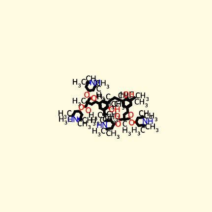 CC1(C)CC(OC(=O)C(C)(CCc2cc(C(C)(C)C)c(O)c(C(C)(C)CC(C)(C)c3cc(CCC(C)(C(=O)OC4CC(C)(C)NC(C)(C)C4)C(=O)OC4CC(C)(C)NC(C)(C)C4)cc(C(C)(C)C)c3O)c2)C(=O)OC2CC(C)(C)NC(C)(C)C2)CC(C)(C)N1